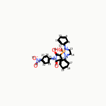 O=C1CC([P]2(O)N(c3ccccc3)CCN2c2ccccc2)C(=O)N1c1ccc([N+](=O)[O-])cc1